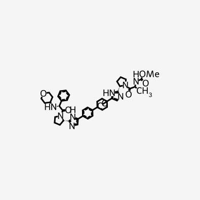 COC(=O)NC(C)C(=O)N1CCC[C@H]1c1ncc(C23CCC(c4ccc(-c5cnc([C@@H]6CCCN6C(=O)[C@H](NC6CCOCC6)c6ccccc6)[nH]5)cc4)(CC2)CC3)[nH]1